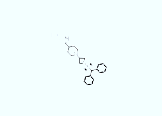 O=C(O)NCC1CCN(C2CN(S(=O)(=O)C(c3ccccc3)c3ccccc3)C2)CC1